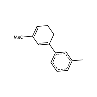 COC1=CC[CH]C(c2cccc(C)c2)=C1